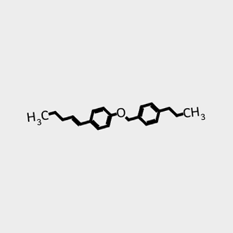 CCCC=Cc1ccc(OCc2ccc(CCC)cc2)cc1